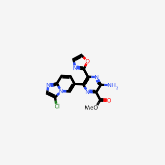 COC(=O)c1nc(-c2ccc3ncc(Cl)n3c2)c(-c2ncco2)nc1N